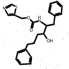 O=C(NC(Cc1ccccc1)C(O)C[CH]Cc1ccccc1)OCc1cncs1